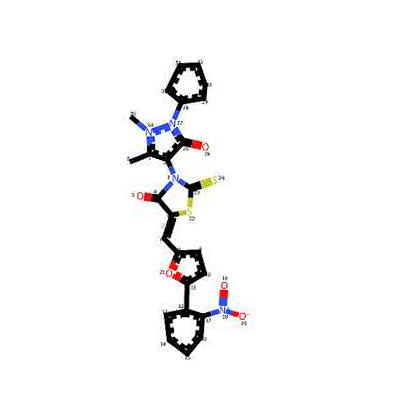 Cc1c(N2C(=O)/C(=C/c3ccc(-c4ccccc4[N+](=O)[O-])o3)SC2=S)c(=O)n(-c2ccccc2)n1C